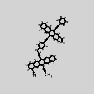 CC#Cc1c2cc3ccccc3cc2c(C#CCc2ccc(C#Cc3c4cc5ccccc5cc4c(C#Cc4ccccc4)c4cc5ccoc5cc34)cc2)c2cc3cccc(C#N)c3cc12